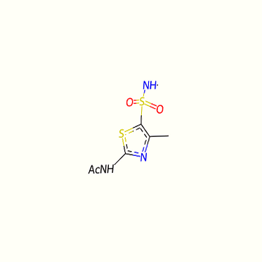 CC(=O)Nc1nc(C)c(S([NH])(=O)=O)s1